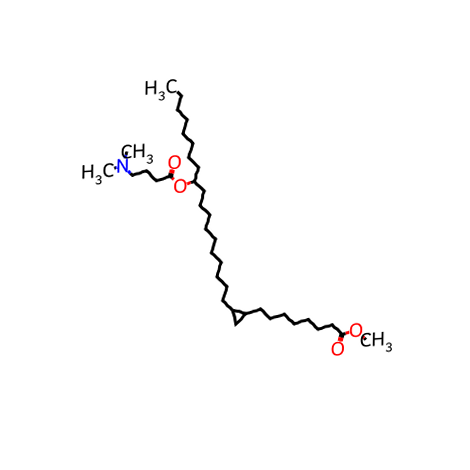 CCCCCCCCC(CCCCCCCCCCC1CC1CCCCCCCC(=O)OC)OC(=O)CCCN(C)C